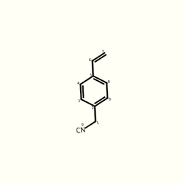 [C-]#[N+]Cc1ccc(C=C)cc1